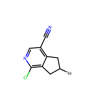 [2H]C1Cc2c(C#N)cnc(Cl)c2C1